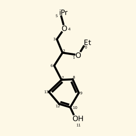 CCOC(COC(C)C)Cc1ccc(O)cc1